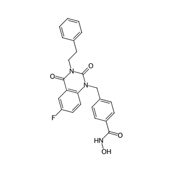 O=C(NO)c1ccc(Cn2c(=O)n(CCc3ccccc3)c(=O)c3cc(F)ccc32)cc1